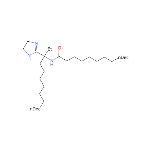 CCCCCCCCCCCCCCCCCC(=O)NC(CC)(CCCCCCCCCCCCCCCC)C1=NCCN1